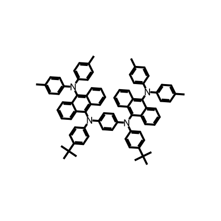 Cc1ccc(N(c2ccc(C)cc2)c2c3ccccc3c(N(c3ccc(N(c4ccc(C(C)(C)C)cc4)c4c5ccccc5c(N(c5ccc(C)cc5)c5ccc(C)cc5)c5ccccc45)cc3)c3ccc(C(C)(C)C)cc3)c3ccccc23)cc1